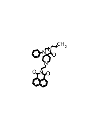 C=CCN1CN(c2ccccc2)C2(CCN(CCN3C(=O)c4cccc5cccc(c45)C3=O)CC2)C1=O